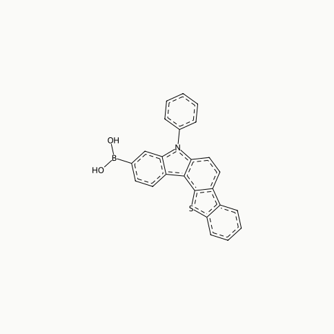 OB(O)c1ccc2c3c4sc5ccccc5c4ccc3n(-c3ccccc3)c2c1